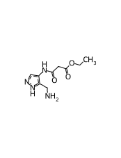 CCOC(=O)CC(=O)Nc1cn[nH]c1CN